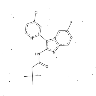 CC(C)(C)CC(=O)Nc1nc2ccc(F)cn2c1-c1cc(Cl)ccn1